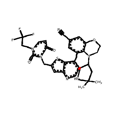 CC1(C)CC(N2CCOc3cc(C#N)cc(-c4ccnc5cc(Cn6c(=O)ccn(CC(F)(F)F)c6=O)sc45)c32)CN1